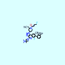 COc1c(C)cccc1-c1c(C(F)(F)F)cc2c(nc(N3CC(C)(N(C)C)C3)c3nnn([C@H]4CCN(C(=O)/C=C/CF)[C@H](CC#N)C4)c32)c1F